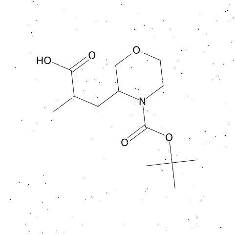 CC(CC1COCCN1C(=O)OC(C)(C)C)C(=O)O